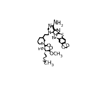 COC(=O)[C@H](CCSC)NC(=O)N1CCCC(CCn2cnc(N)c3nc(Sc4cc5c(cc4Br)OCO5)nc2-3)C1